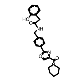 O=C(Cc1ccccc1O)NCc1ccc(-c2nc(C(=O)N3CCCCC3)co2)cc1